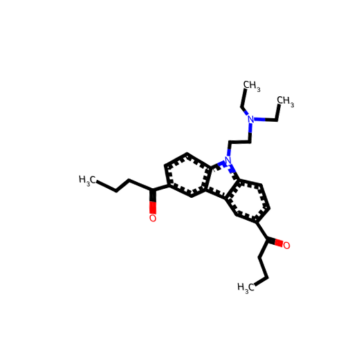 CCCC(=O)c1ccc2c(c1)c1cc(C(=O)CCC)ccc1n2CCN(CC)CC